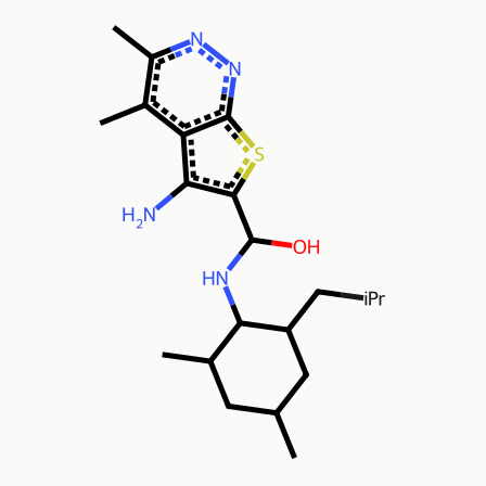 Cc1nnc2sc(C(O)NC3C(C)CC(C)CC3CC(C)C)c(N)c2c1C